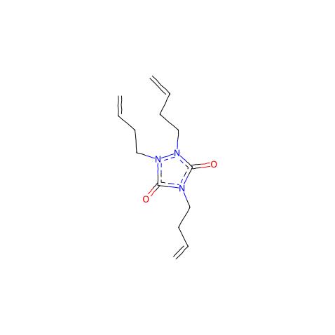 C=CCCn1c(=O)n(CCC=C)n(CCC=C)c1=O